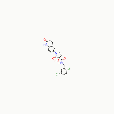 O=C1CCc2cc(N3CC[C@](O)(C(=O)NCc4cc(Cl)ccc4F)C3=O)ccc2N1